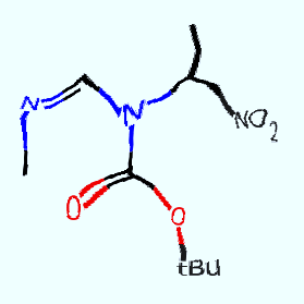 C/N=C\N(C(=O)OC(C)(C)C)C(C)[N+](=O)[O-]